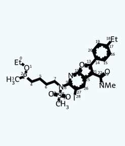 CCOP(C)CCCCN(c1nc2oc(-c3ccc(CC)cc3)c(C(=O)NC)c2cc1I)S(C)(=O)=O